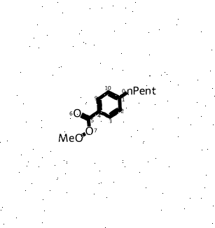 CCCCCc1ccc(C(=O)OOC)cc1